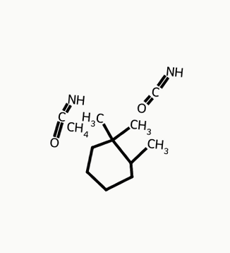 C.CC1CCCCC1(C)C.N=C=O.N=C=O